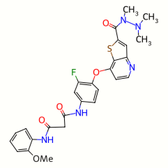 COc1ccccc1NC(=O)CC(=O)Nc1ccc(Oc2ccnc3cc(C(=O)N(C)N(C)C)sc23)c(F)c1